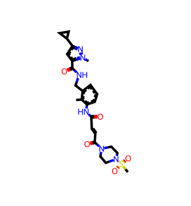 Cc1c(CNC(=O)c2cc(C3CC3)nn2C)cccc1NC(=O)/C=C/C(=O)N1CCN(S(C)(=O)=O)CC1